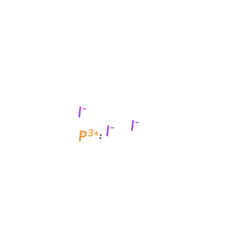 [I-].[I-].[I-].[P+3]